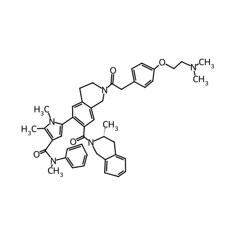 Cc1c(C(=O)N(C)c2ccccc2)cc(-c2cc3c(cc2C(=O)N2Cc4ccccc4C[C@H]2C)CN(C(=O)Cc2ccc(OCCN(C)C)cc2)CC3)n1C